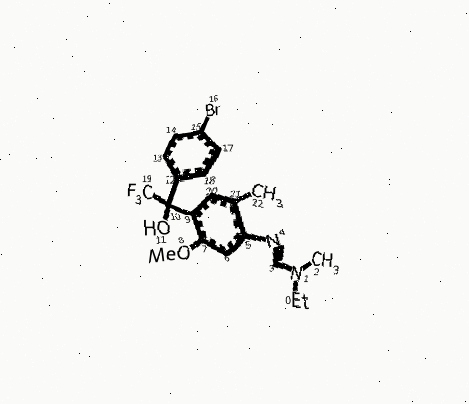 CCN(C)/C=N/c1cc(OC)c(C(O)(c2ccc(Br)cc2)C(F)(F)F)cc1C